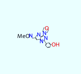 CON=Cc1cnc2c(N3CCOCC3)nc(-c3cccc(O)c3)nc2c1